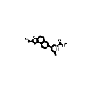 CCCC(CNC(=O)OC)c1ccc2c(c1)CCc1sc(C=O)cc1-2